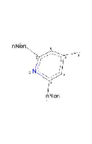 [CH2]c1cc(CCCCCCCCC)nc(CCCCCCCCC)c1